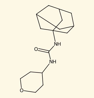 O=C(NC1CCOCC1)NC12CC3CC(CC(C3)C1)C2